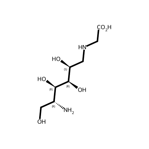 N[C@H](CO)[C@@H](O)[C@H](O)[C@@H](O)CNCC(=O)O